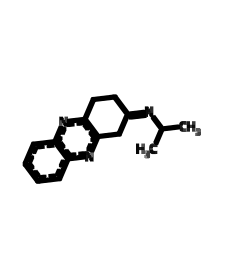 CC(C)N=C1CCc2nc3ccccc3nc2C1